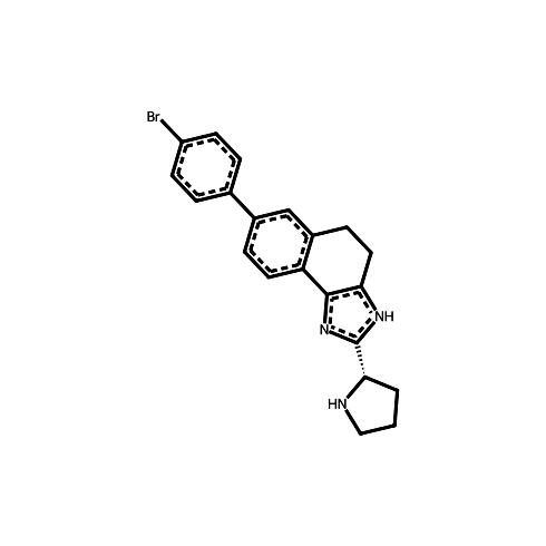 Brc1ccc(-c2ccc3c(c2)CCc2[nH]c([C@@H]4CCCN4)nc2-3)cc1